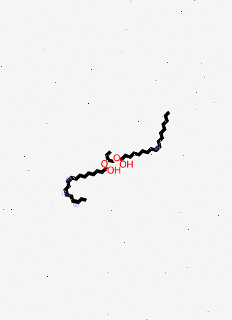 CC/C=C\C/C=C\C/C=C\CCCCCCCC(O)OC(CC)COC(O)CCCCCCC/C=C\CCCCCCCC